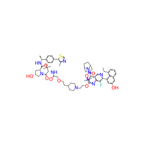 CCc1cccc2cc(O)cc(-c3ncc4c(N5CC6CCC(C5)N6C(=O)OC(C)(C)C)nc(OCCN5CCC(CCOCC(=O)N[C@H](C(=O)N6C[C@H](O)C[C@H]6C(=O)N[C@@H](C)c6ccc(-c7scnc7C)cc6)C(C)(C)C)CC5)nc4c3F)c12